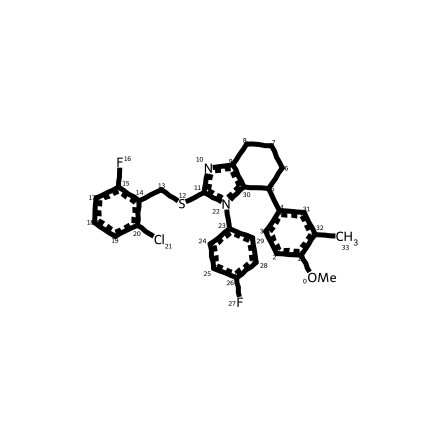 COc1ccc(C2CCCc3nc(SCc4c(F)cccc4Cl)n(-c4ccc(F)cc4)c32)cc1C